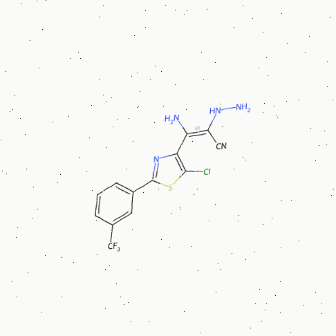 N#C/C(NN)=C(/N)c1nc(-c2cccc(C(F)(F)F)c2)sc1Cl